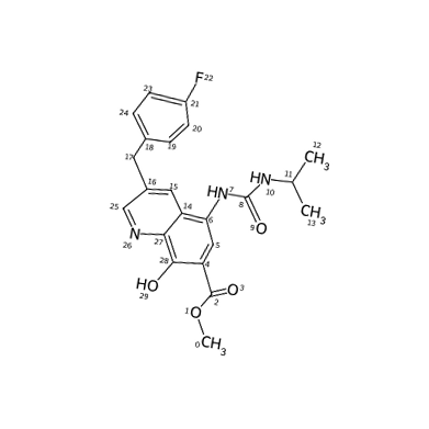 COC(=O)c1cc(NC(=O)NC(C)C)c2cc(Cc3ccc(F)cc3)cnc2c1O